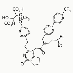 CCN(CC)CCN(Cc1ccc(-c2ccc(C(F)(F)F)cc2)cc1)C(=O)Cn1c(CCc2ccc(OC(F)(F)F)cc2)nc(=O)c2c1CCC2.O=C(O)C(O)C(O)C(=O)O